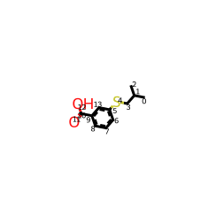 CC(C)CSc1cccc(C(=O)O)c1